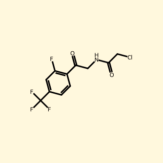 O=C(CCl)NCC(=O)c1ccc(C(F)(F)F)cc1F